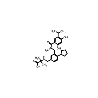 CC(C)c1cc(C(=O)N(C)Cc2cc(CNC(C)(C)C(=O)O)ccc2C2CCCC2)c(O)cc1O